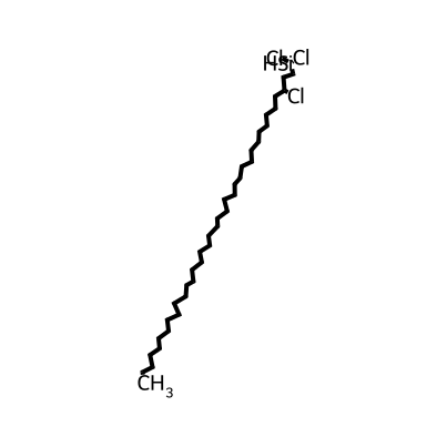 CCCCCCCCCCCCCCCCCCCCCCCCCCCCCCCCCCC(Cl)CC[SiH](Cl)Cl